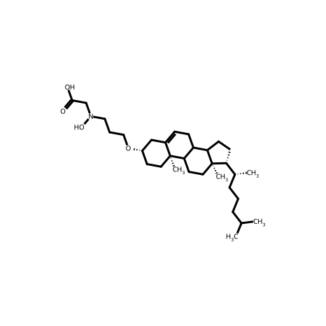 CC(C)CCC[C@@H](C)[C@H]1CCC2C3CC=C4C[C@@H](OCCCN(O)CC(=O)O)CC[C@]4(C)C3CC[C@@]21C